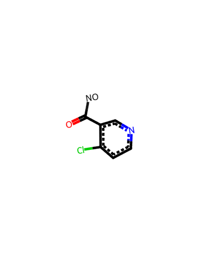 O=NC(=O)c1cnccc1Cl